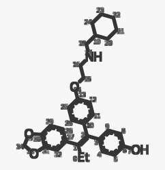 CCC(=C(c1ccc(O)cc1)c1ccc(OCCNCC2CCCCC2)cc1)c1ccc2c(c1)OCO2